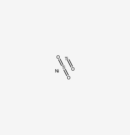 [Ni].[O]=[Ti].[O]=[Ti]=[O]